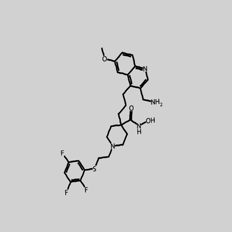 COc1ccc2ncc(CN)c(CCCC3(C(=O)NO)CCN(CCSc4cc(F)cc(F)c4F)CC3)c2c1